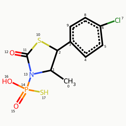 CC1C(c2ccc(Cl)cc2)SC(=O)N1P(=O)(O)S